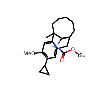 COc1cc2c(cc1C1CC1)CC1CCCCCC2(C)C1NC(=O)OC(C)(C)C